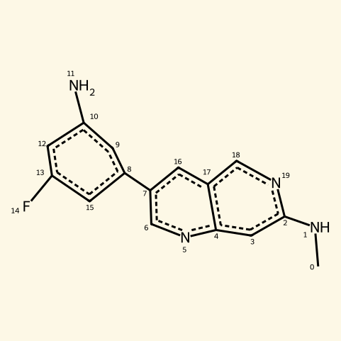 CNc1cc2ncc(-c3cc(N)cc(F)c3)cc2cn1